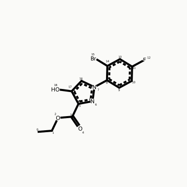 CCOC(=O)c1nn(-c2ccc(F)cc2Br)cc1O